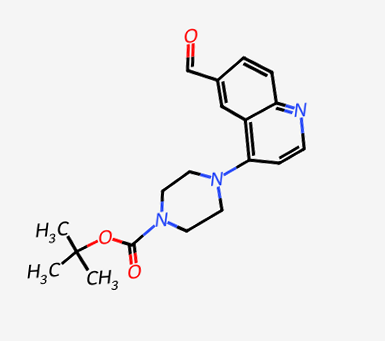 CC(C)(C)OC(=O)N1CCN(c2ccnc3ccc(C=O)cc23)CC1